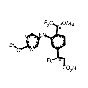 CCOc1ncc(Nc2cc([C@H](CC)CC(=O)O)ccc2[C@@H](OC)C(F)(F)F)cn1